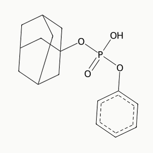 O=P(O)(Oc1ccccc1)OC12CC3CC(CC(C3)C1)C2